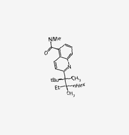 CCCCCCC(C)(CC)[C@@](C)(c1ccc2c(C(=O)NC)cccc2n1)C(C)(C)C